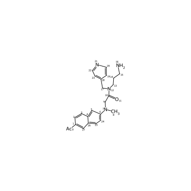 CC(=O)c1ccc2cc(N(C)CC(=O)N(CCCN)Cc3ccncc3)ccc2c1